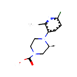 COc1nc(Cl)ccc1N1CCN(C(=O)OC(C)(C)C)C[C@@H]1C